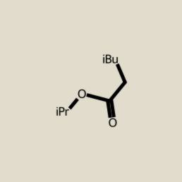 CCC(C)CC(=O)OC(C)C